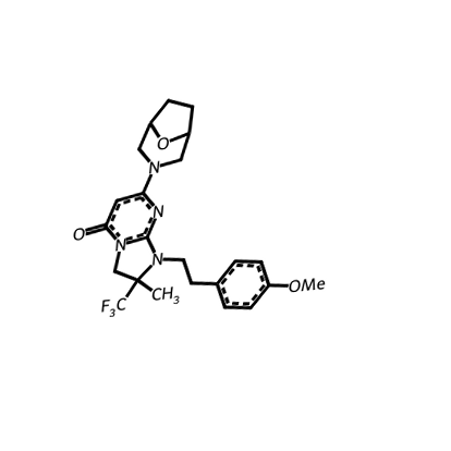 COc1ccc(CCN2c3nc(N4CC5CCC(C4)O5)cc(=O)n3CC2(C)C(F)(F)F)cc1